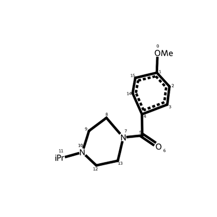 COc1ccc(C(=O)N2CCN(C(C)C)CC2)cc1